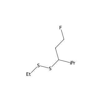 CCSSC(CCF)C(C)C